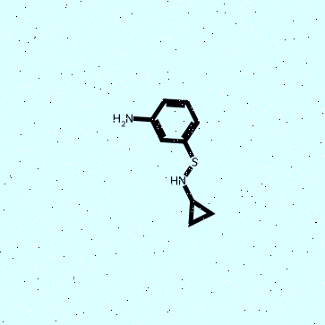 Nc1cccc(SNC2CC2)c1